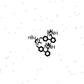 CCCCC1=CN(Cc2ccc(-c3ccccc3-c3nnn[nH]3)cc2)C(C)N1Cc1ccc(-c2ccccc2-c2nnn[nH]2)cc1